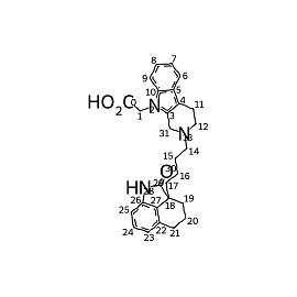 O=C(O)Cn1c2c(c3ccccc31)CCN(CCCCC13CCCc4cccc(c41)NC3=O)C2